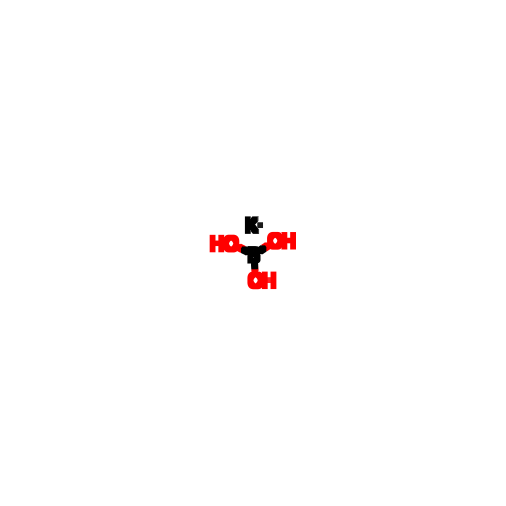 OB(O)O.[K]